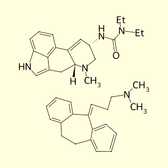 CCN(CC)C(=O)N[C@H]1C=C2c3cccc4[nH]cc(c34)C[C@H]2N(C)C1.CN(C)CCC=C1c2ccccc2CCc2ccccc21